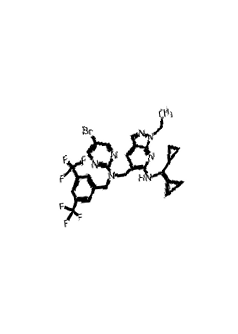 CCn1ncc2cc(CN(Cc3cc(C(F)(F)F)cc(C(F)(F)F)c3)c3ncc(Br)cn3)c(NC(C3CC3)C3CC3)nc21